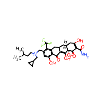 CC(C)CCN(Cc1cc(O)c2c(c1C(F)(F)F)CC1C[C@H]3CC(O)=C(C(N)=O)C(=O)[C@@]3(O)C(O)=C1C2=O)CC1CC1